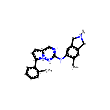 COc1cc2c(cc1Nc1ncc3ccc(-c4ccccc4OC)n3n1)CN(C(C)C)C2